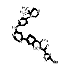 Cc1cc(-c2cc(Nc3ccc(N4CCNCC4(C)C)cn3)ncn2)ccc1[C@@H](C)NC(=O)c1nc(C(C)(C)C)no1